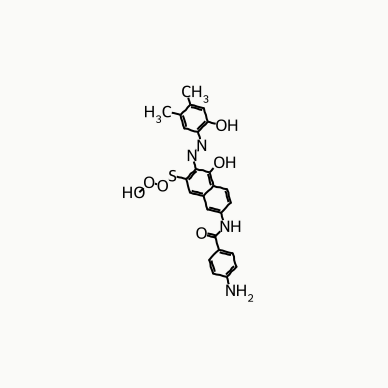 Cc1cc(O)c(N=Nc2c(SOOO)cc3cc(NC(=O)c4ccc(N)cc4)ccc3c2O)cc1C